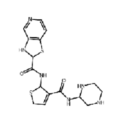 O=C(NC1CNCCN1)C1=CCSC1NC(=O)C1Nc2cnccc2S1